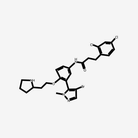 Cn1ncc(Br)c1-c1cc(NC(=O)CCc2ccc(Cl)cc2Cl)ccc1OCCC1CCCN1